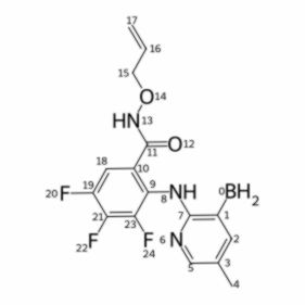 Bc1cc(C)cnc1Nc1c(C(=O)NOCC=C)cc(F)c(F)c1F